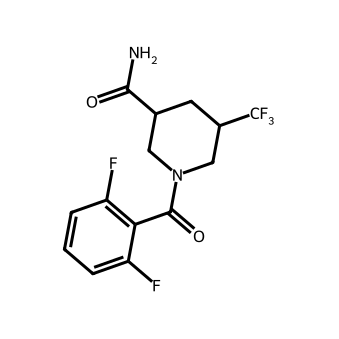 NC(=O)C1CC(C(F)(F)F)CN(C(=O)c2c(F)cccc2F)C1